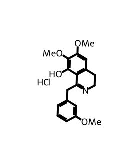 COc1cccc(CC2=NCCc3cc(OC)c(OC)c(O)c32)c1.Cl